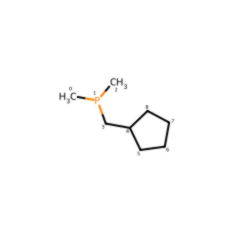 CP(C)CC1CCCC1